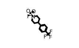 O=S(=O)(I)N1CCC(c2ccc(C(F)(F)F)cc2)CC1